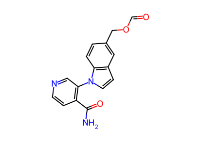 NC(=O)c1ccncc1-n1ccc2cc(COC=O)ccc21